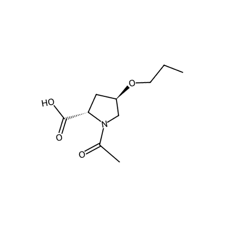 CCCO[C@@H]1C[C@@H](C(=O)O)N(C(C)=O)C1